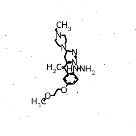 C=C(C1=NC=N[C@H](N2CCN(CC)CC2)C1)c1cc(OCCOC)ccc1NN